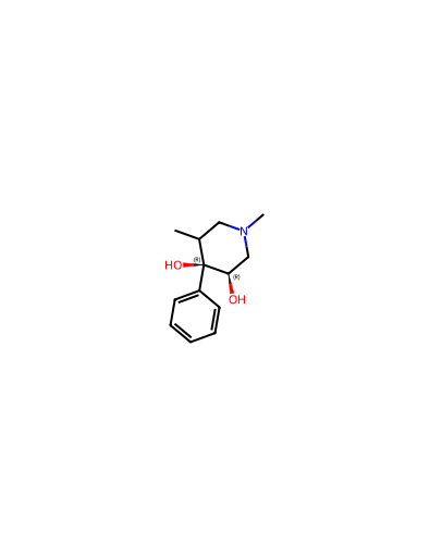 CC1CN(C)C[C@@H](O)[C@]1(O)c1ccccc1